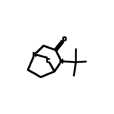 CC(C)(C)N1C(=O)CN2CCC1CC2